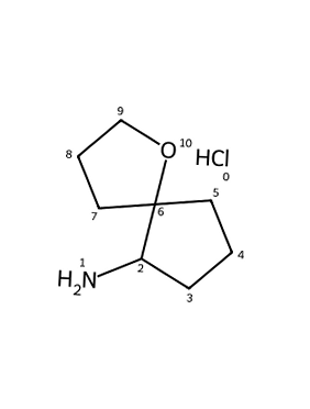 Cl.NC1CCCC12CCCO2